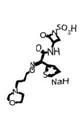 O=C(NC1CN(S(=O)(=O)O)C1=O)C(=NOCCCN1CCOCC1)c1cccs1.[NaH]